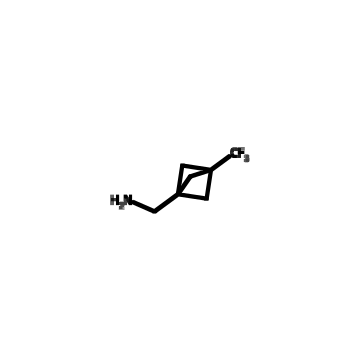 NCC12CC(C(F)(F)F)(C1)C2